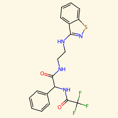 O=C(NCCNc1nsc2ccccc12)C(NC(=O)C(F)(F)F)c1ccccc1